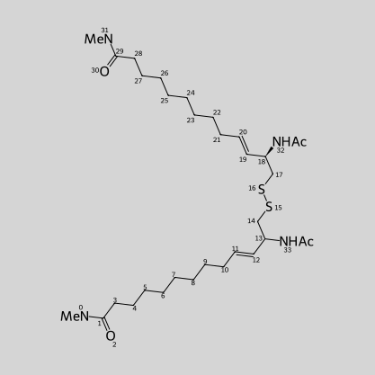 CNC(=O)CCCCCCCC/C=C/C(CSSC[C@@H](/C=C/CCCCCCCCC(=O)NC)NC(C)=O)NC(C)=O